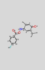 CC1=CC(=O)C(C(C)C)=CC1=NOC(=O)c1ccc(F)cc1